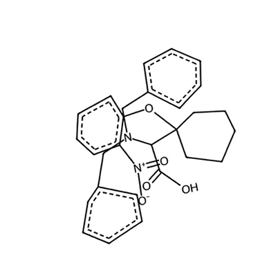 O=C(O)C(N(Cc1ccccc1)Cc1ccccc1)C1(Oc2ccccc2[N+](=O)[O-])CCCCC1